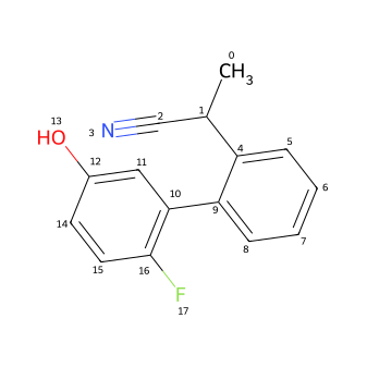 CC(C#N)c1ccccc1-c1cc(O)ccc1F